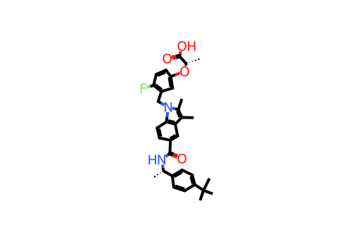 Cc1c(C)n(Cc2cc(O[C@@H](C)C(=O)O)ccc2F)c2ccc(C(=O)N[C@@H](C)c3ccc(C(C)(C)C)cc3)cc12